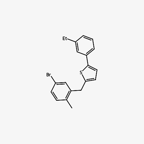 CCc1cccc(-c2ccc(Cc3cc(Br)ccc3C)s2)c1